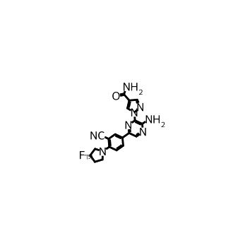 N#Cc1cc(-c2cnc(N)c(-n3cc(C(N)=O)cn3)n2)ccc1N1CC[C@H](F)C1